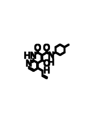 C=CCc1ccnc2[nH]c(=O)c(C(=O)NC3CCC(C)CC3)c(O)c12